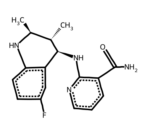 C[C@H]1[C@H](C)Nc2ccc(F)cc2[C@@H]1Nc1ncccc1C(N)=O